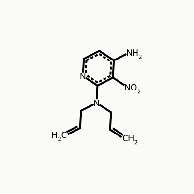 C=CCN(CC=C)c1nccc(N)c1[N+](=O)[O-]